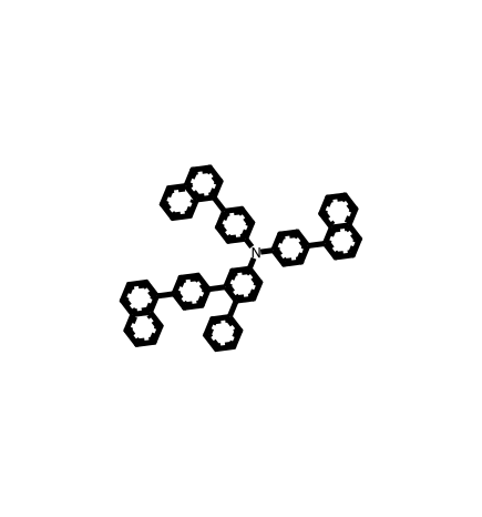 c1ccc(-c2ccc(N(c3ccc(-c4cccc5ccccc45)cc3)c3ccc(-c4cccc5ccccc45)cc3)cc2-c2ccc(-c3cccc4ccccc34)cc2)cc1